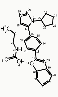 CCCNC(=O)O.c1ccc2oc(-c3ccc(-c4cnnn4C4CCCC4)cc3)nc2c1